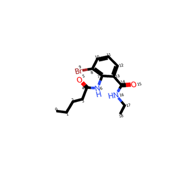 CCCCC(=O)Nc1c(Br)cccc1C(=O)NCC